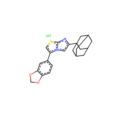 Cl.c1cc2c(cc1-c1csc3nc(C45CC6CC(CC(C6)C4)C5)cn13)OCO2